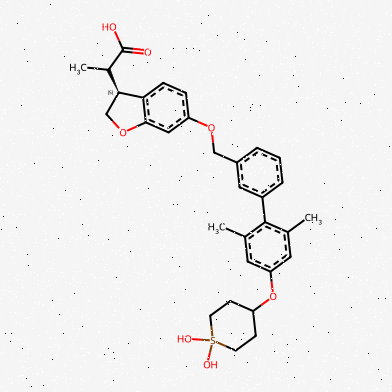 Cc1cc(OC2CCS(O)(O)CC2)cc(C)c1-c1cccc(COc2ccc3c(c2)OC[C@H]3C(C)C(=O)O)c1